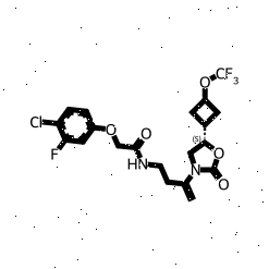 C=C(CCNC(=O)COc1ccc(Cl)c(F)c1)N1C[C@H](C2CC(OC(F)(F)F)C2)OC1=O